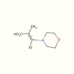 CC/C(=C(/C)C(=O)O)N1CCOCC1